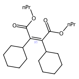 CCCOC(=O)/C(=C(\C(=O)OCCC)C1CCCCC1)C1CCCCC1